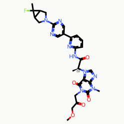 COCC(=O)Cn1c(=O)c2c(ncn2[C@@H](C)C(=O)Nc2cccc(-c3cnc(N4CC5C(C4)C5(C)F)nc3)n2)n(C)c1=O